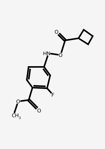 COC(=O)c1ccc(NOC(=O)C2CCC2)cc1F